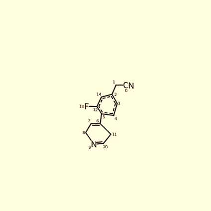 N#CCc1ccc(C2=CCN=CC2)c(F)c1